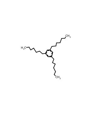 CCCCCCCc1cc(CCCCCCC)cc(CCCCCCC)c1